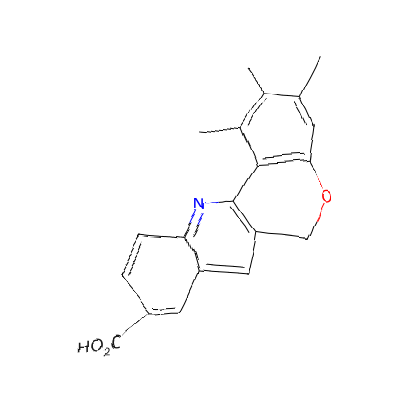 Cc1cc2c(c(C)c1C)-c1nc3ccc(C(=O)O)cc3cc1CO2